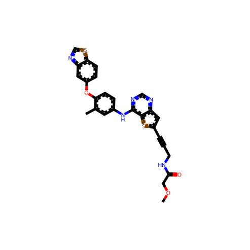 COCC(=O)NCC#Cc1cc2ncnc(Nc3ccc(Oc4ccc5scnc5c4)c(C)c3)c2s1